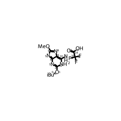 CC[C@H](C)Oc1nc2nc(OC)nc-2c(N)[nH]1.O=C(O)C(F)(F)F